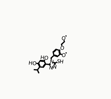 COCCOc1ccc(Cn2c(S)nnc2-c2cc(C(C)C)c(O)cc2O)cc1OC